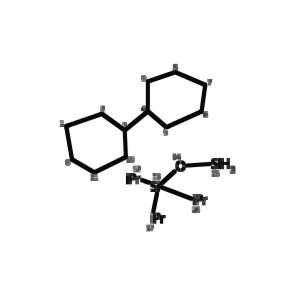 C1CCC(C2CCCCC2)CC1.CC(C)[Si](O[SiH3])(C(C)C)C(C)C